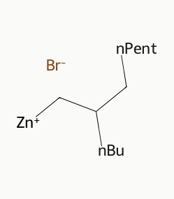 CCCCCCC([CH2][Zn+])CCCC.[Br-]